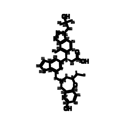 CC[C@@H]1CN(Cc2cc([C@@H](CC(=O)O)c3ccc4c(nnn4CC(C)(C)O)c3C)cc3ccsc23)Cc2nc(O)ccc2O1